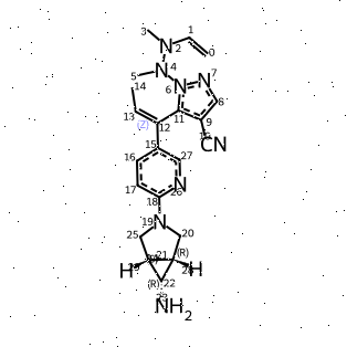 C=CN(C)N(C)n1ncc(C#N)c1/C(=C\C)c1ccc(N2C[C@@H]3[C@H](N)[C@@H]3C2)nc1